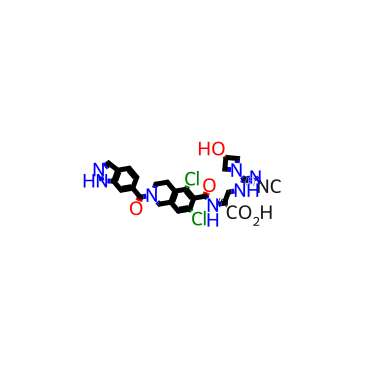 [C-]#[N+]/N=C(\NC[C@H](NC(=O)c1c(Cl)cc2c(c1Cl)CCN(C(=O)c1ccc3cn[nH]c3c1)C2)C(=O)O)N1CC(O)C1